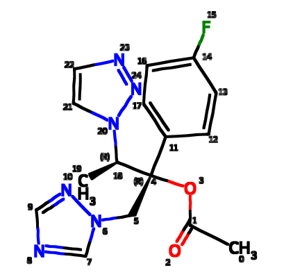 CC(=O)O[C@@](Cn1cncn1)(c1ccc(F)cc1)[C@@H](C)n1ccnn1